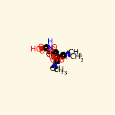 CCN(CC)c1ccc2c(-c3ccc(S(=O)(=O)Nc4ccc(S(=O)(=O)O)cc4OC)cc3S(=O)(=O)O)c3ccc(N(CC)CC)cc3[o+]c2c1